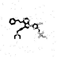 CCN(CC)CC#Cc1cn([C@H]2C[C@H](O)[C@@H](COS(N)(=O)=O)O2)c2ncnc(CCc3ccccc3)c12